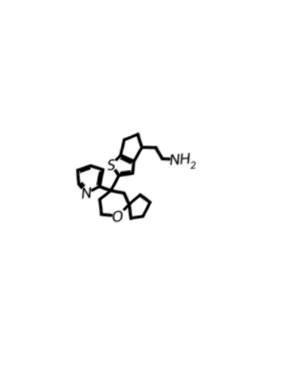 NCCC1CCc2sc(C3(c4ccccn4)CCOC4(CCCC4)C3)cc21